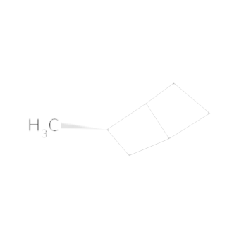 C[C@H]1CC2CCC21